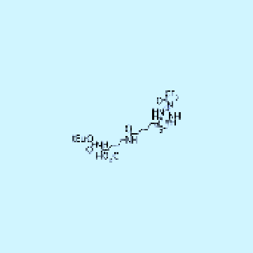 CC(C)(C)OC(=O)N[C@@H](CCCCNC(=O)CCCC[C@@H]1SC[C@@H]2N/C(=N/C(=O)C(F)(F)F)N[C@@H]21)C(=O)O